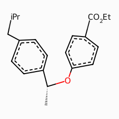 CCOC(=O)c1ccc(O[C@H](C)c2ccc(CC(C)C)cc2)cc1